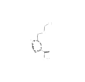 COC(=O)c1ccnc(COCC(F)(F)F)c1